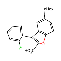 CCCCCCc1ccc2oc(C(=O)O)c(-c3ccccc3Cl)c2c1